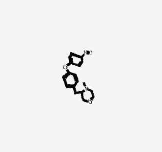 CN1CCOCC1Cc1ccc(Oc2ccc(N=O)cc2)cc1